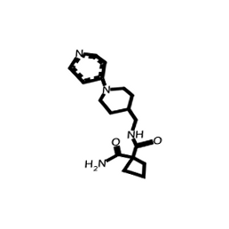 NC(=O)C1(C(=O)NCC2CCN(c3ccncc3)CC2)CCC1